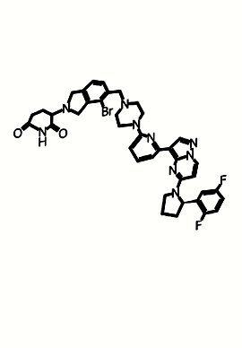 O=C1CCC(N2Cc3ccc(CN4CCN(c5cccc(-c6cnn7ccc(N8CCC[C@@H]8c8cc(F)ccc8F)nc67)n5)CC4)c(Br)c3C2)C(=O)N1